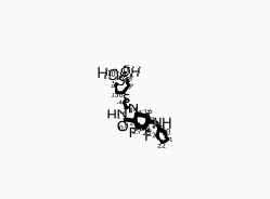 O=c1[nH]c(CSC2CCS(O)(O)CC2)nc2cc(NC3CCCC3)c(F)c(F)c12